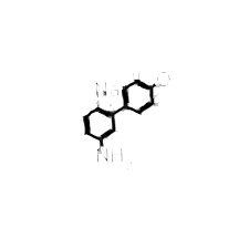 Nc1cccc(-c2ccc([O-])cc2)c1.[Na+]